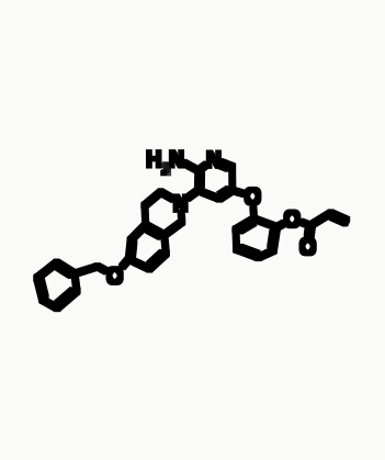 C=CC(=O)Oc1ccccc1Oc1cnc(N)c(N2CCc3cc(OCc4ccccc4)ccc3C2)c1